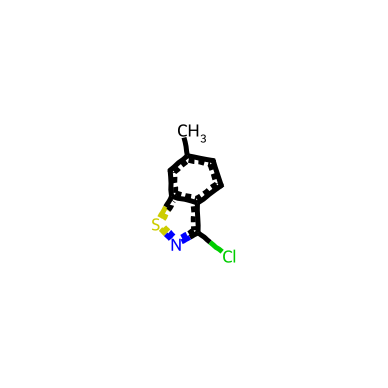 Cc1ccc2c(Cl)nsc2c1